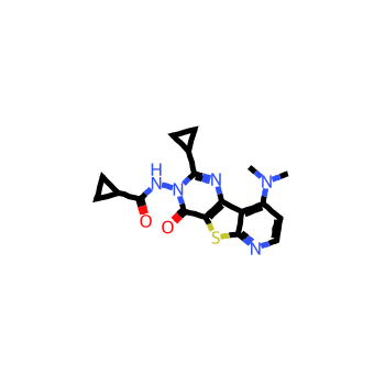 CN(C)c1ccnc2sc3c(=O)n(NC(=O)C4CC4)c(C4CC4)nc3c12